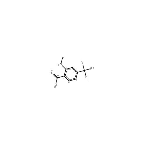 COc1cc(C(F)(F)F)ccc1C(=O)Cl